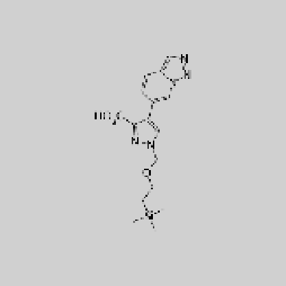 C[Si](C)(C)CCOCn1cc(-c2ccc3cnnn3c2)c(C(=O)O)n1